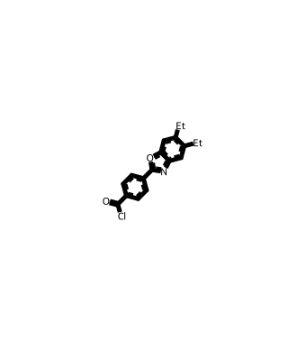 CCc1cc2nc(-c3ccc(C(=O)Cl)cc3)oc2cc1CC